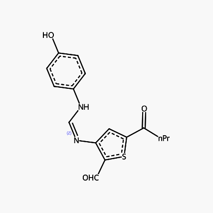 CCCC(=O)c1cc(/N=C\Nc2ccc(O)cc2)c(C=O)s1